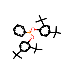 CC(C)(C)c1ccc(OP(Oc2ccc(C(C)(C)C)cc2C(C)(C)C)c2ccccc2)c(C(C)(C)C)c1